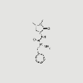 CC1C[C@@H](NC(=O)[C@H](N)Cc2ccccc2)C(=O)N1C